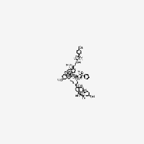 CC[C@@H]1C2C[C@H](O)CCC2(C)[C@H]2CCC3(C)C([C@H](CCC[C@@H]4C5C[C@H](O)CCC5(C)[C@H]5CCC6(C)C([C@H](P)CCNC(=O)NS(=O)(=O)c7ccc(C(C)(C)C)cc7)CC[C@H]6[C@@H]5[C@@H]4O)CCNC(=O)NS(=O)(=O)c4ccccc4)CC[C@H]3C2[C@@H]1O